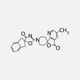 Cc1cnc2c(c1)C(=O)OC21CCN(C2=NC(=O)C3(Cc4ccccc4C3)O2)CC1